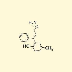 Cc1ccc(O)c(C(CCON)c2ccccc2)c1